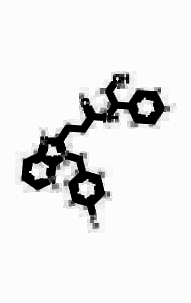 O=C(CCc1nc2cccnc2n1Cc1ccc(F)cc1)NC(CO)c1ccccc1